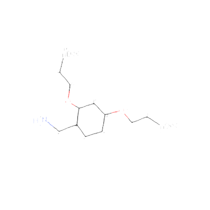 CCCCCCCCCCCCOC1CCC(CN)C(OCCCCCCCCCCCC)C1